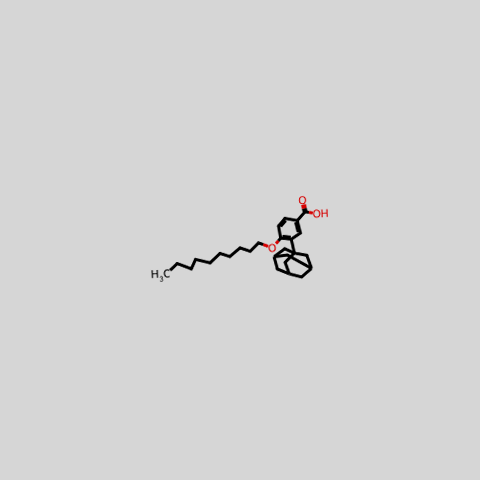 CCCCCCCCCCOc1ccc(C(=O)O)cc1C12CC3CC(CC(C3)C1)C2